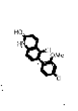 COc1cc(Cl)ccc1-c1ccc2c(c1Cl)C=CC(O)N2